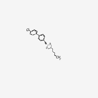 C=CCCC[C@H]1CO[C@H](C#Cc2ccc(-c3ccc(Cl)cc3)cc2)OC1